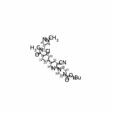 CN(Cc1cnn(C)c1)C(=O)c1ccc(-c2cnc(N3CCN(C(=O)OC(C)(C)C)CC3)c(C#N)c2)cc1Cl